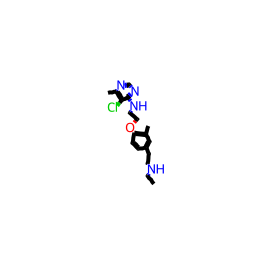 CCNCCc1ccc(OCCNc2ncnc(C)c2Cl)c(C)c1